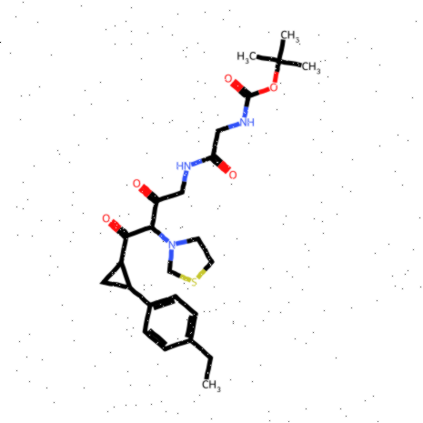 CCc1ccc(C2CC2C(=O)C(C(=O)CNC(=O)CNC(=O)OC(C)(C)C)N2CCSC2)cc1